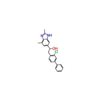 Cc1nc2c(C)cc(C(O)Cc3ccc(-c4ccccc4)cc3Cl)cc2[nH]1